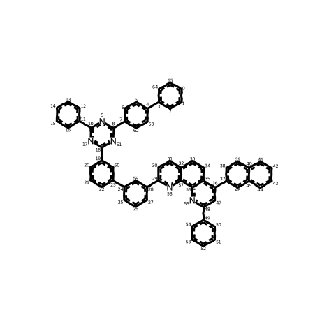 c1ccc(-c2ccc(-c3nc(-c4ccccc4)nc(-c4cccc(-c5cccc(-c6ccc7ccc8c(-c9ccc%10ccccc%10c9)cc(-c9ccccc9)nc8c7n6)c5)c4)n3)cc2)cc1